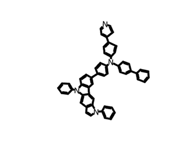 c1ccc(-c2ccc(N(c3ccc(-c4ccncc4)cc3)c3ccc(-c4ccc5c(c4)c4cc6c(ccn6-c6ccccc6)cc4n5-c4ccccc4)cc3)cc2)cc1